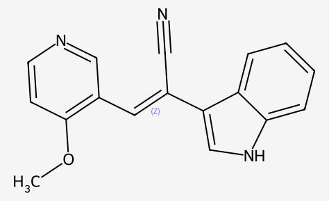 COc1ccncc1/C=C(\C#N)c1c[nH]c2ccccc12